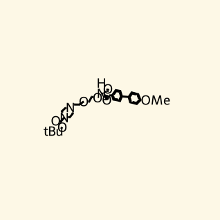 COc1ccc(-c2ccc(S(=O)(=O)NOCCOCCN3CCN(C(=O)OC(C)(C)C)CC3)cc2)cc1